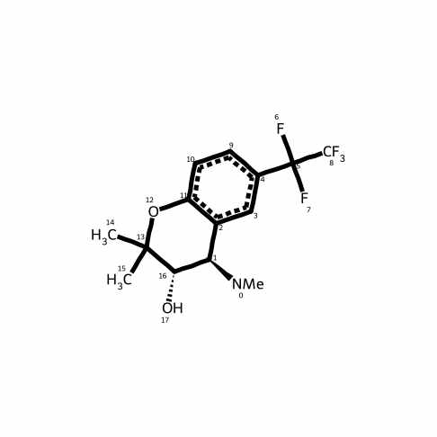 CN[C@@H]1c2cc(C(F)(F)C(F)(F)F)ccc2OC(C)(C)[C@H]1O